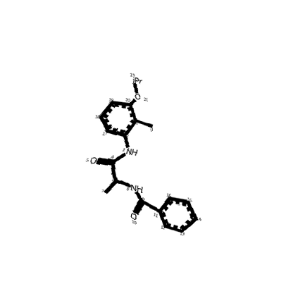 Cc1c(NC(=O)C(C)NC(=O)c2ccccc2)cccc1OC(C)C